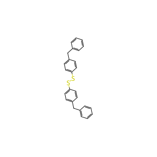 c1ccc(Cc2ccc(SSc3ccc(Cc4ccccc4)cc3)cc2)cc1